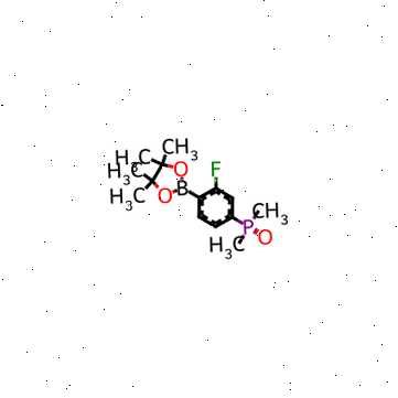 CC1(C)OB(c2ccc(P(C)(C)=O)cc2F)OC1(C)C